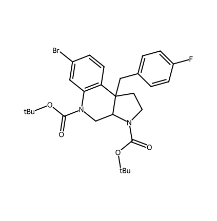 CC(C)(C)OC(=O)N1CC2N(C(=O)OC(C)(C)C)CCC2(Cc2ccc(F)cc2)c2ccc(Br)cc21